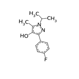 Cc1c(O)c(-c2ccc(F)cc2)nn1C(C)C